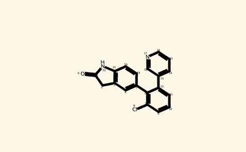 O=C1Cc2cc(-c3c(Cl)cccc3-c3cccnc3)ccc2N1